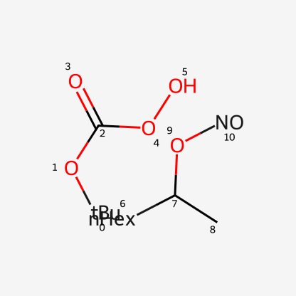 CC(C)(C)OC(=O)OO.CCCCCCC(C)ON=O